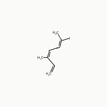 C=C/C(C)=C\C=C(/C)I